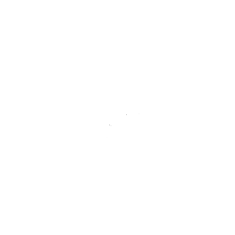 CCCCN1CC(C(C)(C)C)S/C1=N\C(=O)c1ccc(Cl)cc1OC